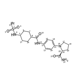 CC(C)S(=O)(=O)NC1CCC(C(=O)Nc2ccc(N3CCC[C@H]3C(N)=O)cc2)CC1